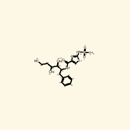 CS(=O)(=O)Nc1nc(C(=O)NC(Cc2ccccc2)C(O)C(O)CCC#N)cs1